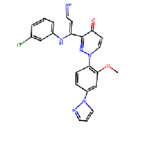 COc1cc(-n2cccn2)ccc1-n1ccc(=O)c(/C(=C/C=N)Nc2cccc(Cl)c2)n1